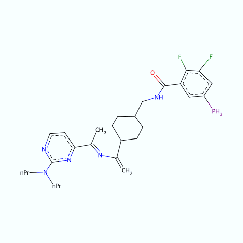 C=C(/N=C(\C)c1ccnc(N(CCC)CCC)n1)C1CCC(CNC(=O)c2cc(P)cc(F)c2F)CC1